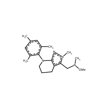 CON(C)Cc1c2c(nn1C)N(c1c(C)cc(C)cc1C)CCC2